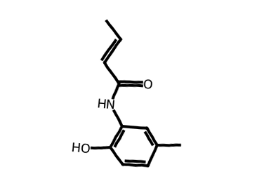 C/C=C/C(=O)Nc1cc(C)ccc1O